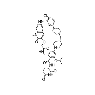 CNC(=O)COc1cc2cc(Nc3nc(N4CCN(CC5CCN(c6ccc(C(=O)NC7CCC(=O)NC7=O)c(OC(C)C)c6)CC5)CC4)ncc3Cl)ccc2n(C)c1=O